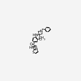 CC1(Nc2ccc(S(=O)(=O)Nc3nccs3)cc2Cl)CN(Cc2ccccc2)C1